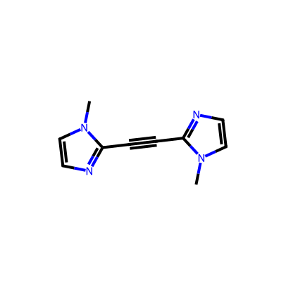 Cn1ccnc1C#Cc1nccn1C